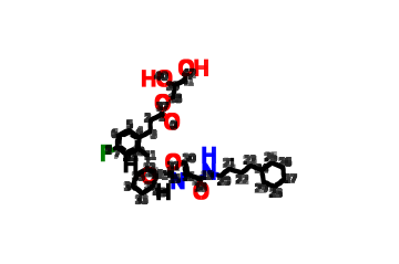 O=C(CCc1ccc(F)cc1C[C@@H]1[C@H](c2nc(C(=O)NCCCCC3CCCCC3)co2)[C@H]2CC[C@H]1O2)OCC(O)CO